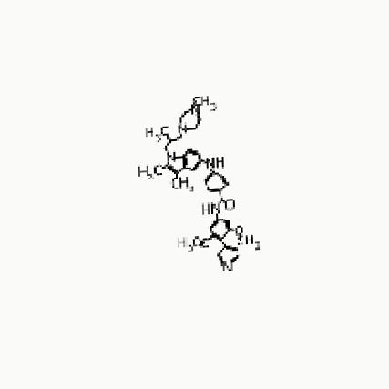 COc1cc(NC(=O)c2ccc(Nc3ccc4c(c3)c(C)c(C)n4CC(C)CN3CCN(C)CC3)cc2)cc(OC)c1-c1ccncc1